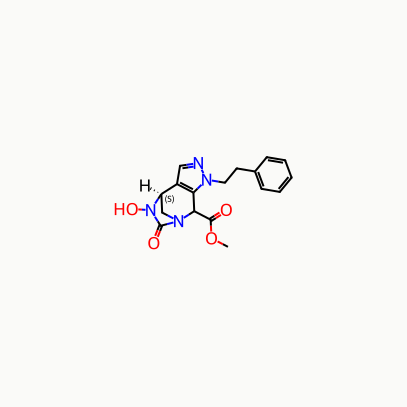 COC(=O)C1c2c(cnn2CCc2ccccc2)[C@H]2CN1C(=O)N2O